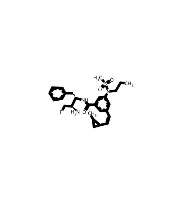 CCCN(c1cc(/C=C\C2CC2C)cc(C(=O)N[C@@H](Cc2ccccc2)[C@@H](N)CF)c1)S(C)(=O)=O